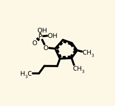 CCCCc1c(OP(=O)(O)O)ccc(C)c1C